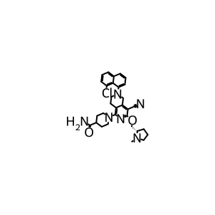 CN1CCC[C@H]1COc1nc(N2CCC(C(N)=O)CC2)c2c(c1C#N)CN(c1cccc3cccc(Cl)c13)CC2